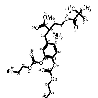 CCC(C)(C)C(=O)OCC[C@@](N)(Cc1ccc(OC(=O)OCCC(C)C)c(OC(=O)OCCC(C)C)c1)C(=O)OC